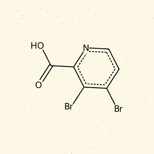 O=C(O)c1nccc(Br)c1Br